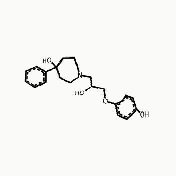 Oc1ccc(OC[C@@H](O)CN2CCC(O)(c3ccccc3)CC2)cc1